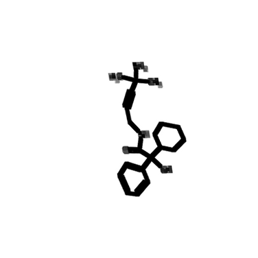 CC(C)(N)C#CCNC(=O)C(O)(c1ccccc1)C1CCCCC1